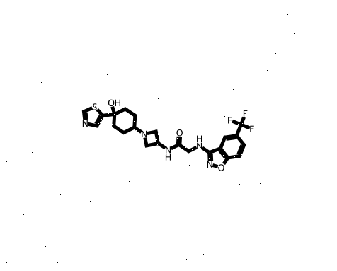 O=C(CNc1noc2ccc(C(F)(F)F)cc12)NC1CN(C2CCC(O)(c3cncs3)CC2)C1